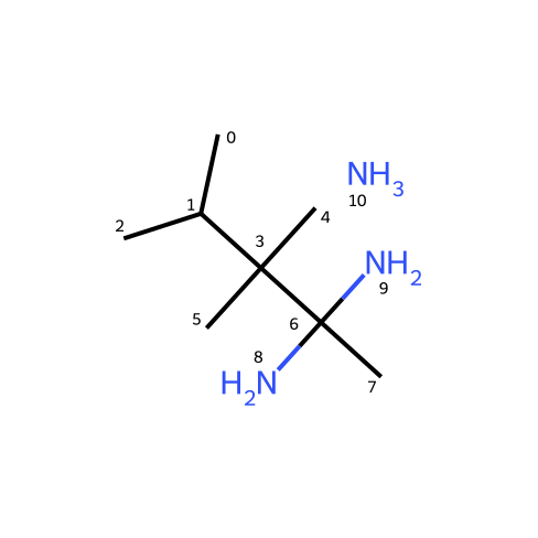 CC(C)C(C)(C)C(C)(N)N.N